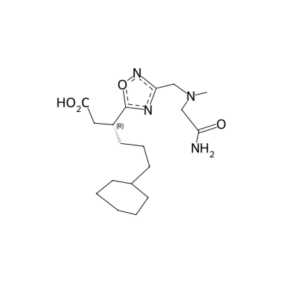 CN(CC(N)=O)Cc1noc([C@H](CCCC2CCCCC2)CC(=O)O)n1